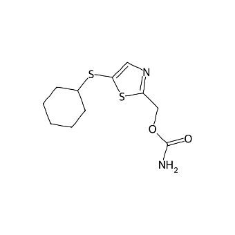 NC(=O)OCc1ncc(SC2CCCCC2)s1